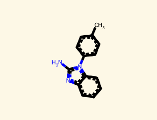 Cc1ccc(-n2c(N)nc3ccccc32)cc1